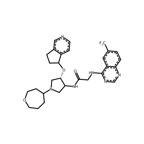 O=C(CNc1ncnc2ccc(C(F)(F)F)cc12)NC1CN(C2CCCOCC2)C[C@@H]1OC1CCc2cnccc21